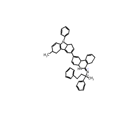 CC1C=CC2=C(C1)C1=CC(C3=CC4C5=C(CCC=C5)/C(=N/[C@@](C)(CCc5ccccc5)c5ccccc5)NC4C=C3)=CCC1N2c1ccccc1